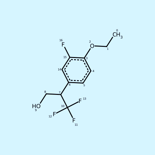 CCOc1ccc(C(CO)C(F)(F)F)cc1F